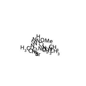 COc1cc(N(C)CCN(C)C)c([N+](=O)[O-])cc1Nc1nccc(N2CC(C)(C)c3nc(Br)ccc32)n1